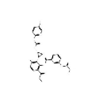 CCC(=O)c1ccc(F)c([C@@H]2C[C@@H]2NC(=O)Nc2ccc(Br)cn2)c1OC(=O)c1cccc(NC(=O)[C@H](C)N)c1